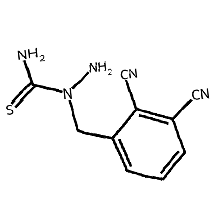 N#Cc1cccc(CN(N)C(N)=S)c1C#N